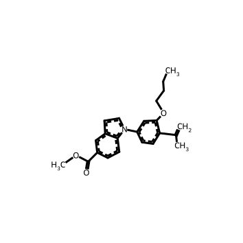 C=C(C)c1ccc(-n2ccc3cc(C(=O)OC)ccc32)cc1OCCCC